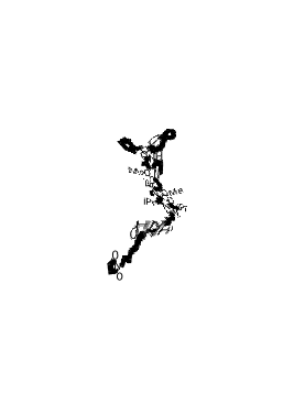 CCC(C)C(C(CC(=O)N1CCC[C@H]1C(OC)C(C)C(=O)NC(Cc1ccccc1)C(=O)OCc1ccccc1)OC)N(C)C(=O)C(NC(=O)C(C(C)C)N(C)CCCC(=O)NNC(=O)CCCCCN1C(=O)C=CC1=O)C(C)C